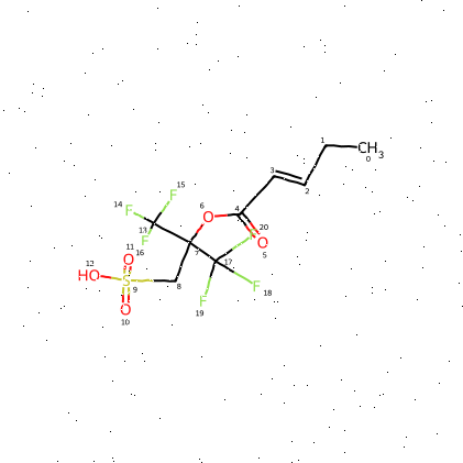 CC/C=C/C(=O)OC(CS(=O)(=O)O)(C(F)(F)F)C(F)(F)F